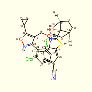 N#Cc1cc(F)c2nc(C3(O)[C@@H]4CC[C@H]3CC(OCc3c(-c5c(Cl)cccc5Cl)noc3C3CC3)C4)sc2c1